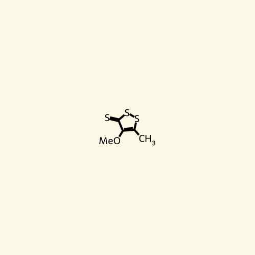 COc1c(C)ssc1=S